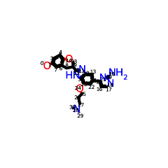 COc1ccc2c(c1)CC(c1nc3cc(-c4ccnc(N)n4)cc(OCCCN(C)C)c3[nH]1)CO2